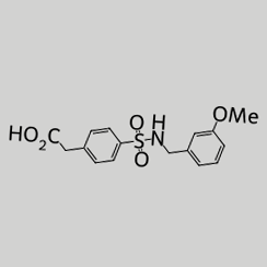 COc1cccc(CNS(=O)(=O)c2ccc(CC(=O)O)cc2)c1